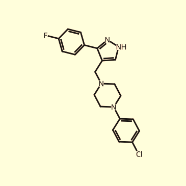 Fc1ccc(-c2n[nH]cc2CN2CCN(c3ccc(Cl)cc3)CC2)cc1